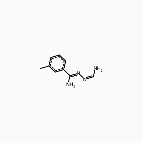 Cc1cccc(/C(N)=N/N=C\N)c1